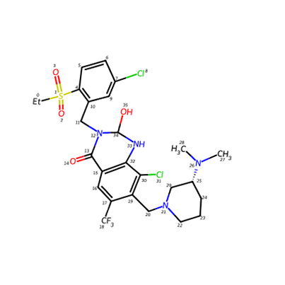 CCS(=O)(=O)c1ccc(Cl)cc1CN1C(=O)c2cc(C(F)(F)F)c(CN3CCC[C@@H](N(C)C)C3)c(Cl)c2NC1O